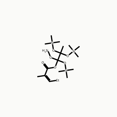 CCC=C(C)C(=O)OC(O[SiH3])(O[Si](C)(C)C)C(C)(O[Si](C)(C)C)O[Si](C)(C)C